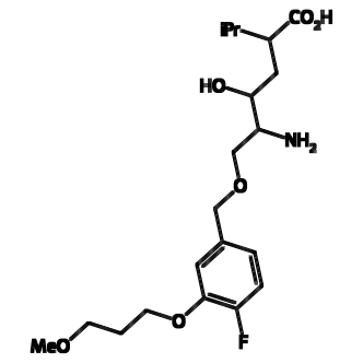 COCCCOc1cc(COCC(N)C(O)CC(C(=O)O)C(C)C)ccc1F